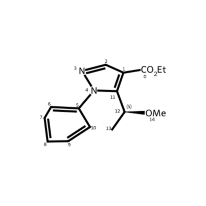 CCOC(=O)c1cnn(-c2ccccc2)c1[C@H](C)OC